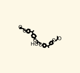 CC(c1ccc(OCC(O)COc2ccc(C(C)c3ccc(OCC4CO4)cc3)cc2)cc1)c1ccc(OCC2CO2)cc1